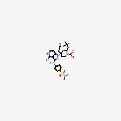 CN(C)S(=O)(=O)c1ccc(Nc2nn(C3(CC#N)CCN(C(=O)O)C(CC(C)(C)C)C3)c3cc[nH]c(=O)c23)cc1